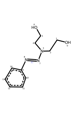 OCCN(CCO)/N=N/c1ccccc1